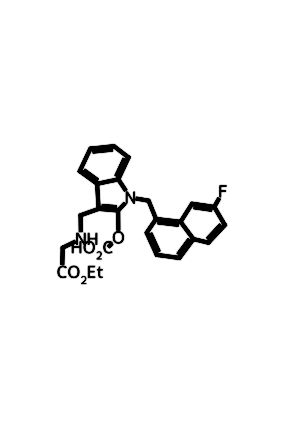 CCOC(=O)CNCc1c(OC(=O)O)n(Cc2cccc3ccc(F)cc23)c2ccccc12